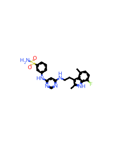 Cc1[nH]c2c(F)ccc(C)c2c1CCNc1cc(Nc2cccc(S(N)(=O)=O)c2)ncn1